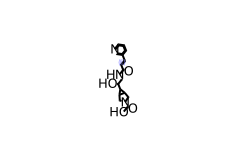 O=C(/C=C/c1cccnc1)NCC(O)C1C2CN(C(=O)O)CC21